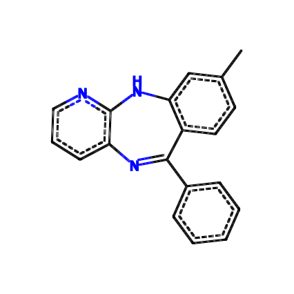 Cc1ccc2c(c1)Nc1ncccc1N=C2c1ccccc1